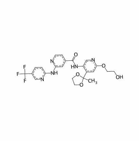 CC1(c2cc(OCCO)ncc2NC(=O)c2ccnc(Nc3ccc(C(F)(F)F)cn3)c2)OCCO1